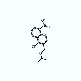 CC(C)OCc1cnc2c([N+](=O)[O-])cccc2c1Cl